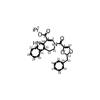 CC(C)OC(=O)C1=CN(C(=O)C2=COC(Cc3ccccc3)O2)CCc2c1[nH]c1ccccc21